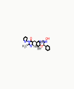 CCCCc1nc(C)n(-c2ccccn2)c(=O)c1Cc1cc(CCC)c(OC(C(N)=NO)c2ccccc2)c(CCC)c1